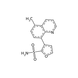 Cc1ccc(-c2ccoc2S(N)(=O)=O)c2ncccc12